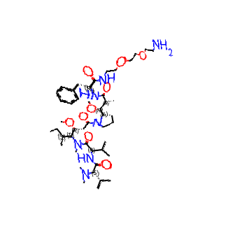 CC[C@H](C)[C@@H]([C@@H](CC(=O)N1CCC[C@H]1[C@H](OC)[C@@H](C)C(=O)N[C@H](Cc1ccccc1)C(=O)NCCOCCOCCN)OC)N(C)C(=O)[C@H](NC(=O)[C@H](C(C)C)N(C)C)C(C)C